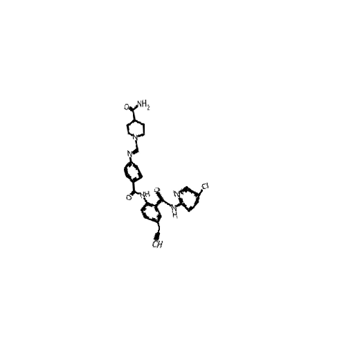 C#Cc1ccc(NC(=O)c2ccc(N=CN3CCC(C(N)=O)CC3)cc2)c(C(=O)Nc2ccc(Cl)cn2)c1